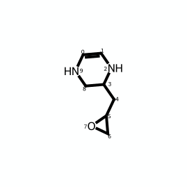 C1=CNC(CC2CO2)CN1